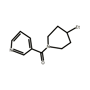 CCC1CCN(C(=O)c2cccnc2)CC1